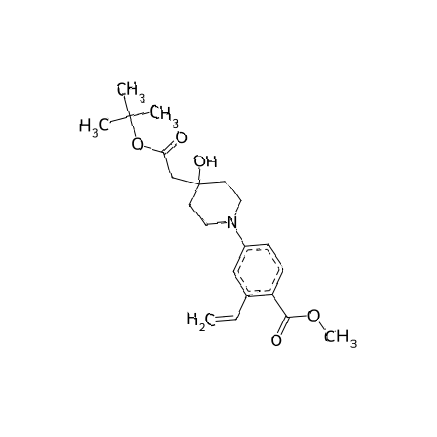 C=Cc1cc(N2CCC(O)(CC(=O)OC(C)(C)C)CC2)ccc1C(=O)OC